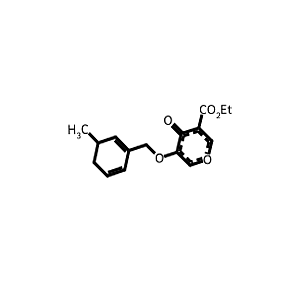 CCOC(=O)c1cocc(OCC2=CC(C)CC=C2)c1=O